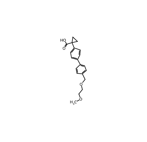 COCCOCc1ccc(-c2ccc(C3(C(=O)O)CC3)cc2)cc1